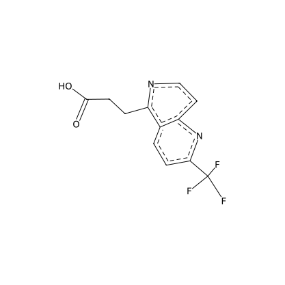 O=C(O)CCc1nccc2nc(C(F)(F)F)ccc12